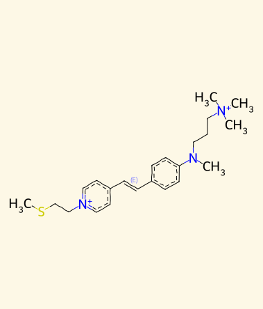 CSCC[n+]1ccc(/C=C/c2ccc(N(C)CCC[N+](C)(C)C)cc2)cc1